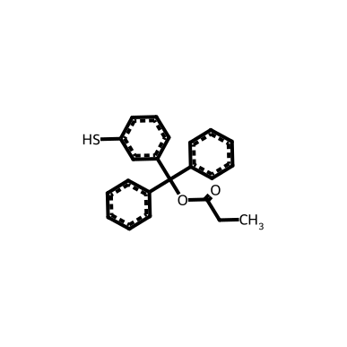 CCC(=O)OC(c1ccccc1)(c1ccccc1)c1cccc(S)c1